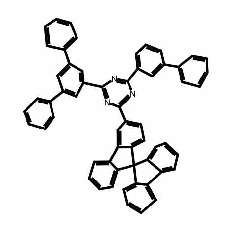 c1ccc(-c2cccc(-c3nc(-c4cc(-c5ccccc5)cc(-c5ccccc5)c4)nc(-c4ccc5c(c4)-c4ccccc4C54c5ccccc5-c5ccccc54)n3)c2)cc1